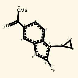 COC(=O)c1ccc2c(c1)nc(Cl)n2C1CC1